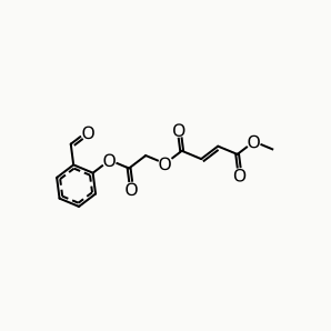 COC(=O)C=CC(=O)OCC(=O)Oc1ccccc1C=O